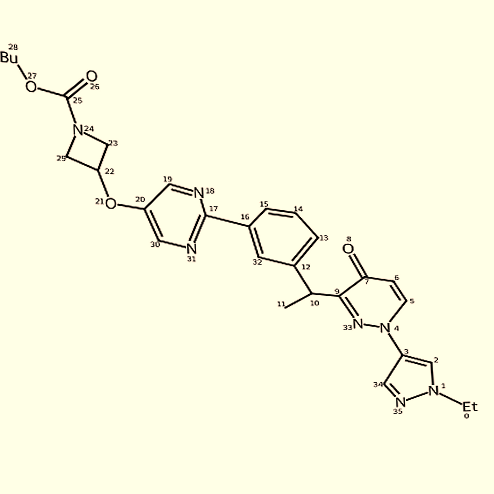 CCn1cc(-n2ccc(=O)c(C(C)c3cccc(-c4ncc(OC5CN(C(=O)OC(C)(C)C)C5)cn4)c3)n2)cn1